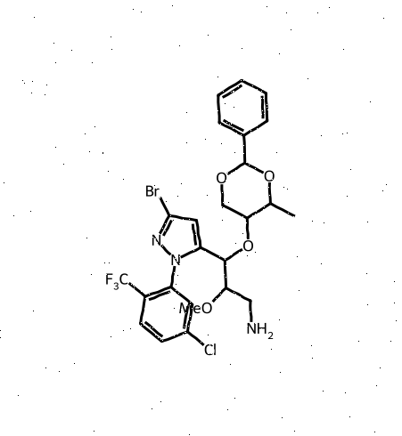 COC(CN)C(OC1COC(c2ccccc2)OC1C)c1cc(Br)nn1-c1cc(Cl)ccc1C(F)(F)F